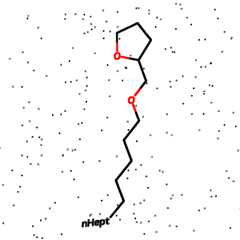 CCCCCCCCCCCCOCC1CCCO1